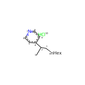 CCCCCCCC(C)c1ccncc1.Cl